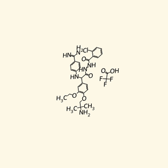 CCOc1cc(C(Nc2ccc(C(=N)N)cc2)C(=O)NNC(=O)c2ccccc2Cl)ccc1OCC(C)(C)N.O=C(O)C(F)(F)F